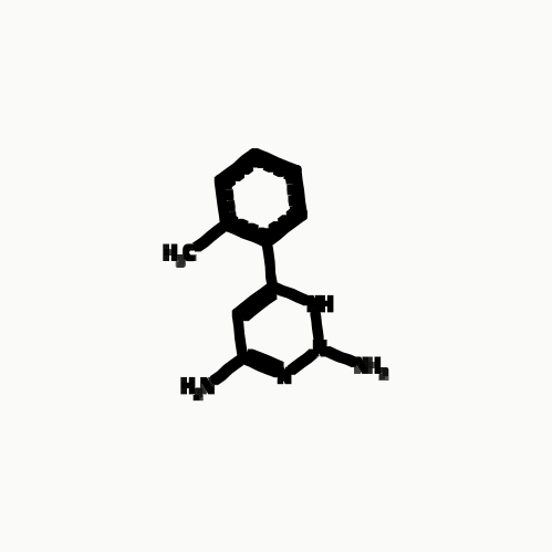 Cc1ccccc1C1=CC(N)=NN(N)N1